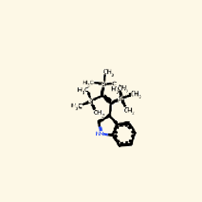 C[Si](C)(C)C(=C([Si](C)(C)C)[Si](C)(C)C)C1CNc2ccccc21